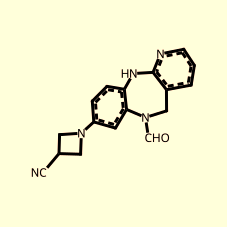 N#CC1CN(c2ccc3c(c2)N(C=O)Cc2cccnc2N3)C1